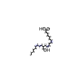 CCCCC/C=C\C=C\C(CO)C/C=C\C/C=C\CCCCCC(=O)O